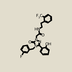 O=C(Cn1nc(-c2ccccc2O)n(Cc2cccc(F)c2)c1=O)NCCc1ccccc1C(F)(F)F